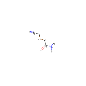 CN(C)C(=O)CSCC#N